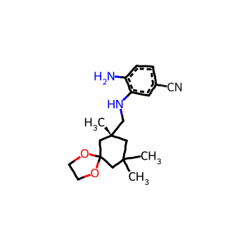 CC1(C)CC2(C[C@](C)(CNc3cc(C#N)ccc3N)C1)OCCO2